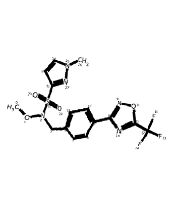 CON(Cc1ccc(-c2noc(C(F)(F)F)n2)cc1)S(=O)(=O)c1ccn(C)n1